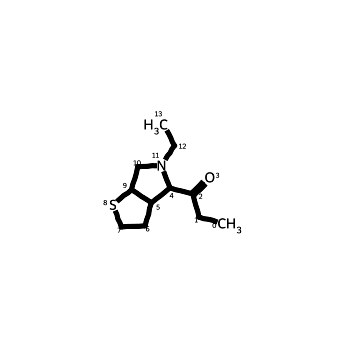 CCC(=O)C1C2CCSC2CN1CC